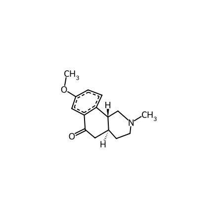 COc1ccc2c(c1)C(=O)C[C@@H]1CCN(C)C[C@@H]21